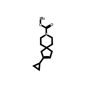 CC(C)(C)OC(=O)N1CCC2(CC=C(C3CC3)C2)CC1